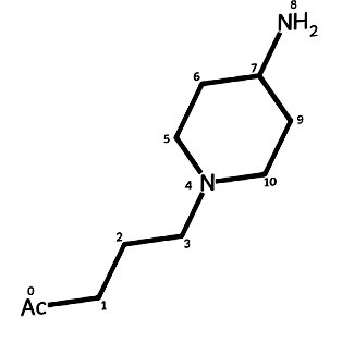 CC(=O)CCCN1CCC(N)CC1